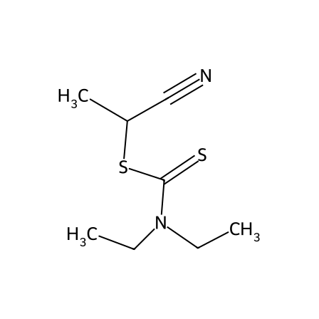 CCN(CC)C(=S)SC(C)C#N